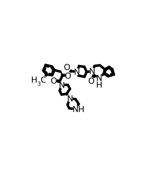 Cc1cccc(C[C@@H](OC(=O)N2CCC(N3CCc4ccccc4NC3=O)CC2)C(=O)N2CCC(N3CCNCC3)CC2)c1